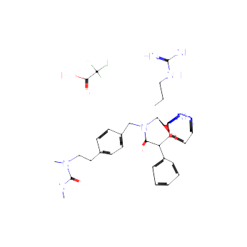 CNC(=O)N(C)CCc1ccc(CN(C(=O)C(c2ccccc2)c2ccccc2)[C@H](CCCNC(=N)N)C(N)=O)cc1.O=C(O)C(F)(F)F